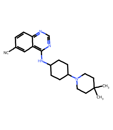 CC1(C)CCN(C2CCC(Nc3ncnc4ccc(C#N)cc34)CC2)CC1